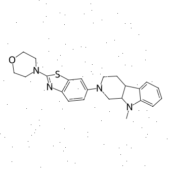 CN1c2ccccc2C2CCN(c3ccc4nc(N5CCOCC5)sc4c3)CC21